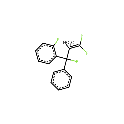 O=C(O)C(=C(F)F)C(F)(c1ccccc1)c1ccccc1F